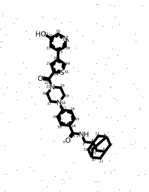 O=C(NCC12CC3CC(CC(C3)C1)C2)c1ccc(N2CCN(C(=O)c3cc(-c4cncc(O)c4)cs3)CC2)cc1